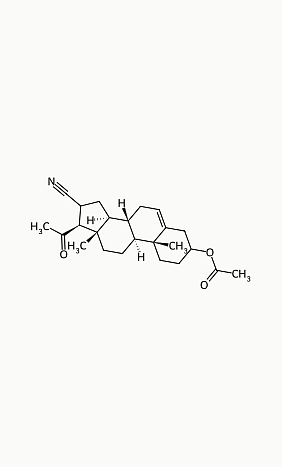 CC(=O)OC1CC[C@@]2(C)C(=CC[C@H]3[C@@H]4CC(C#N)[C@H](C(C)=O)[C@@]4(C)CC[C@@H]32)C1